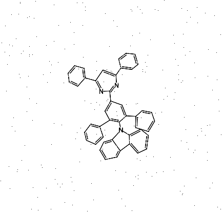 c1ccc(-c2cc(-c3ccccc3)nc(-c3cc(-c4ccccc4)c(-n4c5ccccc5c5ccccc54)c(-c4ccccc4)c3)n2)cc1